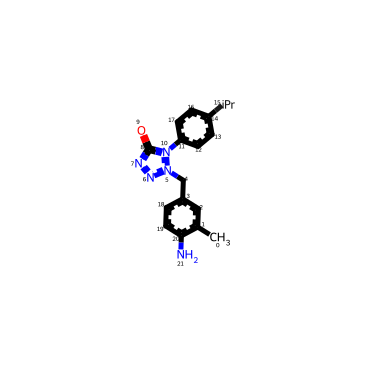 Cc1cc(Cn2nnc(=O)n2-c2ccc(C(C)C)cc2)ccc1N